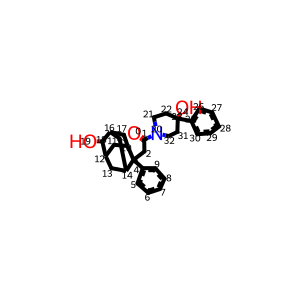 O=C(CC1(c2ccccc2)C2CC3CC1CC(C2)C3O)N1CCC(O)(c2ccccc2)CC1